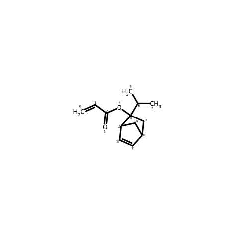 C=CC(=O)OC1(C(C)C)CC2C=CC1C2